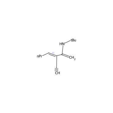 C#C/C(=C\CCC)C(=C)NC(C)(C)C